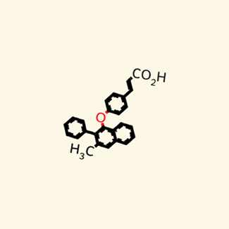 Cc1cc2ccccc2c(Oc2ccc(C=CC(=O)O)cc2)c1-c1ccccc1